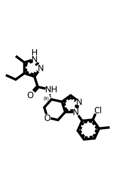 CCc1c(C(=O)N[C@H]2COCc3c2cnn3-c2cccc(C)c2Cl)n[nH]c1C